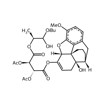 COc1ccc2c3c1O[C@H]1C(OC(=O)[C@H](OC(C)=O)[C@@H](OC(C)=O)C(=O)O[C@@H](C)C(O)OCC(C)C)=CC[C@@]4(O)[C@H](CCC[C@]314)C2